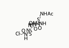 CON=C(C(=O)NC1C(=O)NC1SCCNC(C)=O)c1csc(NC(=O)CCl)n1